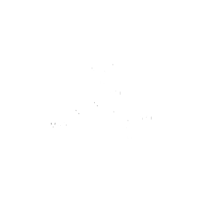 CCCCOC(=O)CCc1ccc(OC)nc1N(CC1COC(=O)O1)C(=O)C(C)(C)C